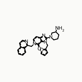 NC1CCCN(c2nc3ccn(Cc4nccc5ccccc45)c(=O)c3n2Cc2ccco2)C1